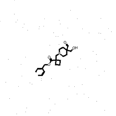 C/C=C\C(=C/C)COC(=O)C1(CN2CCC(C=O)(CO)CC2)CCC1